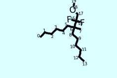 CCCCCCC(C)(CCCCCC)C(F)(F)COC